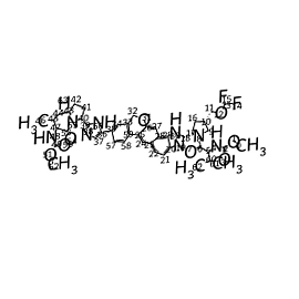 COC(=O)N[C@H](C(=O)N1C[C@@H](COC(F)F)C[C@H]1c1nc2ccc3cc4c(cc3c2[nH]1)OCc1cc(-c2cnc([C@@H]3CC[C@@H]5CC(C)[C@H](NC(=O)OC)C(=O)N53)[nH]2)ccc1-4)C(C)C